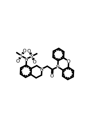 CS(=O)(=O)N(c1cccc2c1CN(CC(=O)N1c3ccccc3Oc3ccccc31)CC2)S(C)(=O)=O